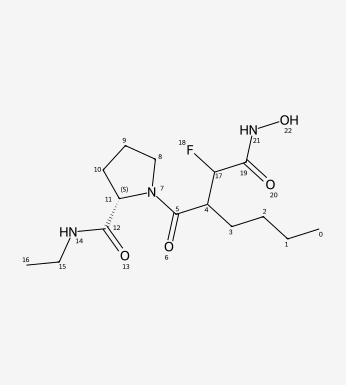 CCCCC(C(=O)N1CCC[C@H]1C(=O)NCC)C(F)C(=O)NO